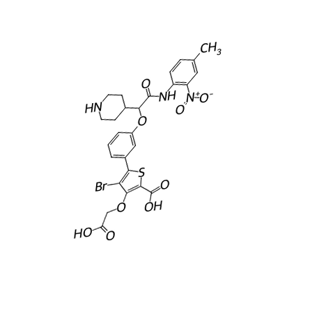 Cc1ccc(NC(=O)C(Oc2cccc(-c3sc(C(=O)O)c(OCC(=O)O)c3Br)c2)C2CCNCC2)c([N+](=O)[O-])c1